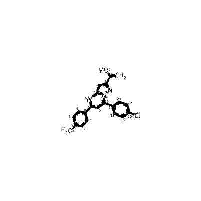 C=C(O)c1cc2nc(-c3ccc(C(F)(F)F)cc3)cc(-c3ccc(Cl)cc3)n2n1